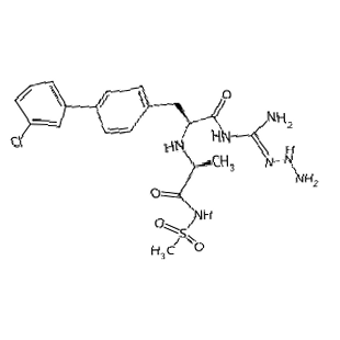 C[C@H](N[C@@H](Cc1ccc(-c2cccc(Cl)c2)cc1)C(=O)N/C(N)=N/NN)C(=O)NS(C)(=O)=O